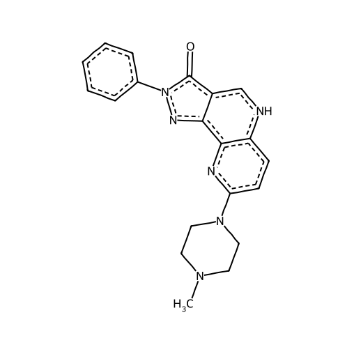 CN1CCN(c2ccc3[nH]cc4c(=O)n(-c5ccccc5)nc-4c3n2)CC1